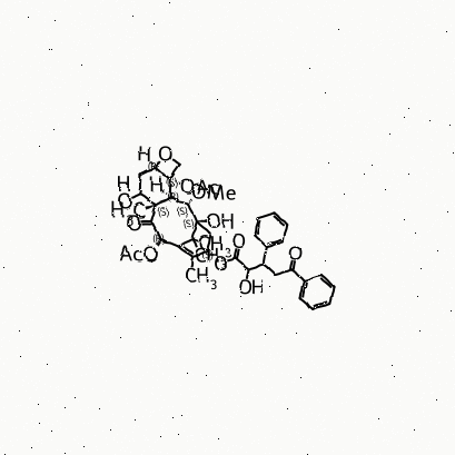 CO[C@H]1[C@@H]2[C@]3(OC(C)=O)CO[C@@H]3CC(O)[C@@]2(C)C(=O)[C@H](OC(C)=O)C2=C(C)[C@@H](OC(=O)C(O)C(CC(=O)c3ccccc3)c3ccccc3)C[C@]1(O)C2(C)C